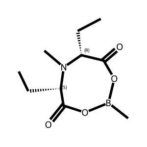 CC[C@@H]1C(=O)OB(C)OC(=O)[C@H](CC)N1C